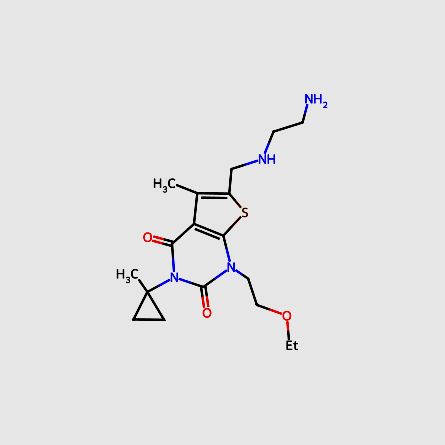 CCOCCn1c(=O)n(C2(C)CC2)c(=O)c2c(C)c(CNCCN)sc21